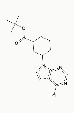 CC(C)(C)OC(=O)C1CCCC(n2ccc3c(Cl)ncnc32)C1